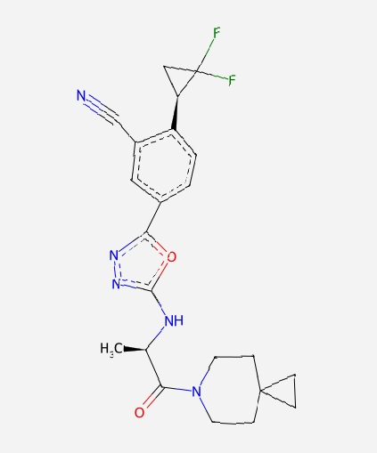 C[C@@H](Nc1nnc(-c2ccc([C@H]3CC3(F)F)c(C#N)c2)o1)C(=O)N1CCC2(CC1)CC2